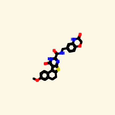 COc1ccc2c(c1)CCc1sc3nc(C(=O)NCc4ccc5c(c4)NC(=O)CO5)[nH]c(=O)c3c1-2